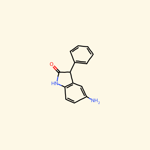 Nc1ccc2c(c1)C(c1ccccc1)C(=O)N2